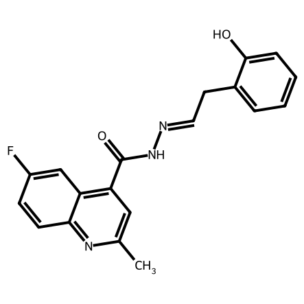 Cc1cc(C(=O)NN=CCc2ccccc2O)c2cc(F)ccc2n1